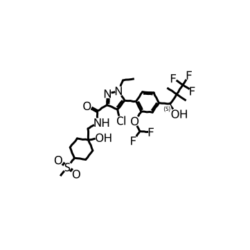 CCn1nc(C(=O)NCC2(O)CCC(S(C)(=O)=O)CC2)c(Cl)c1-c1ccc([C@H](O)C(C)(C)C(F)(F)F)cc1OC(F)F